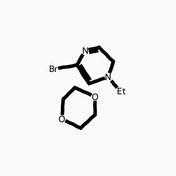 C1COCCO1.CCN1C=C(Br)N=CC1